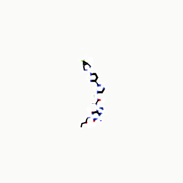 CCC(=O)Cn1c(=O)c2c(ncn2[C@@H](C)C(=O)Nc2ccnc(-c3ccc(N4CC5[C@H](C4)C5(F)F)nc3)n2)n(C)c1=O